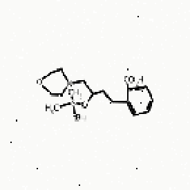 CC(C)(C)[Si](C)(C)OC(CCc1ccccc1C(=O)O)CN1CCOCC1